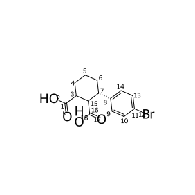 O=C(O)C1CCC[C@H](c2ccc(Br)cc2)C1C(=O)O